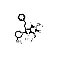 Cn1c(=O)c2c(nc(N3CCCC(N)C3)n2CCc2ccccc2)n(CC(=O)O)c1=O